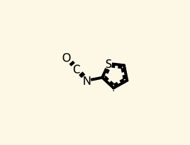 O=C=Nc1[c]ccs1